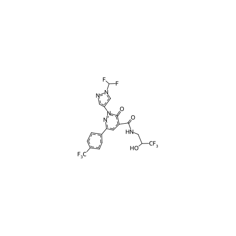 O=C(NCC(O)C(F)(F)F)c1cc(-c2ccc(C(F)(F)F)cc2)nn(-c2cnn(C(F)F)c2)c1=O